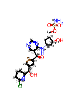 NS(=O)(=O)OC[C@H]1C[C@@H](Nc2ncncc2C(=O)c2cc([C@@H](O)c3cccc(Cl)n3)cs2)C[C@@H]1O